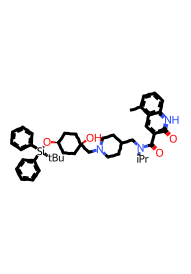 Cc1cccc2[nH]c(=O)c(C(=O)N(CC3CCN(C[C@]4(O)CC[C@@H](O[Si](c5ccccc5)(c5ccccc5)C(C)(C)C)CC4)CC3)C(C)C)cc12